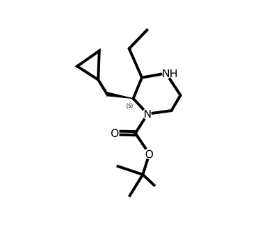 CCC1NCCN(C(=O)OC(C)(C)C)[C@H]1CC1CC1